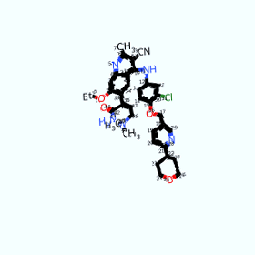 CCOc1cc2nc(C)c(C#N)c(Nc3ccc(OCc4ccc(C5CCOCC5)nc4)c(Cl)c3)c2cc1C(=CCN(C)C)C(N)=O